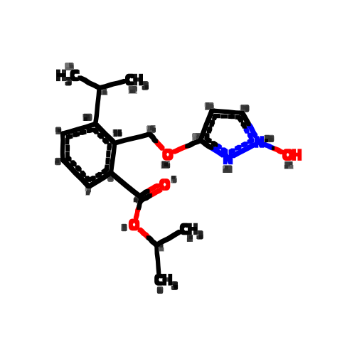 CC(C)OC(=O)c1cccc(C(C)C)c1COc1ccn(O)n1